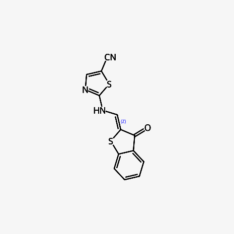 N#Cc1cnc(N/C=C2\Sc3ccccc3C2=O)s1